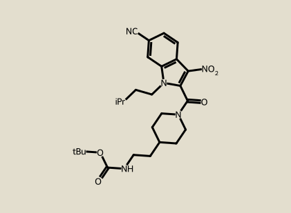 CC(C)CCn1c(C(=O)N2CCC(CCNC(=O)OC(C)(C)C)CC2)c([N+](=O)[O-])c2ccc(C#N)cc21